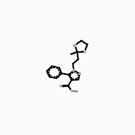 COC(=O)c1cnn(CCC2(C)OCCO2)c1-c1ccccc1